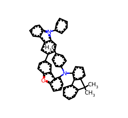 Cc1ccc(N(c2cccc3c2-c2ccccc2C3(C)C)c2cccc3oc4ccc(-c5ccc6c(c5)c5ccccc5n6-c5ccccc5)cc4c23)cc1